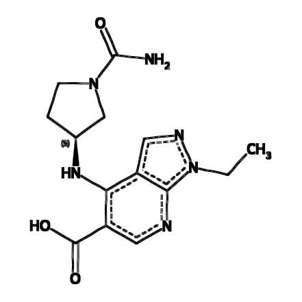 CCn1ncc2c(N[C@H]3CCN(C(N)=O)C3)c(C(=O)O)cnc21